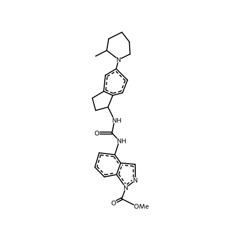 COC(=O)n1ncc2c(NC(=O)NC3CCc4cc(N5CCCCC5C)ccc43)cccc21